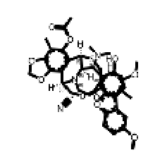 COc1ccc2oc3c(c2c1)CCN[C@]31CS[C@@H]2c3c(OC(C)=O)c(C)c4c(c3[C@H](COC1=O)N1[C@@H]2[C@@H](N(C)C)c2c(cc(C)c(OC)c2O)C[C@@H]1C#N)OCO4